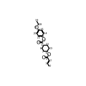 CC=CC(=O)O[C@H]1CC[C@H](C(=O)Oc2ccc(OCC)cc2)CC1